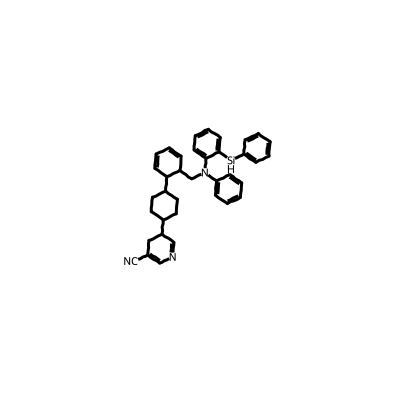 N#CC1=CN=CC(C2CCC(C3C=CC=CC3CN3c4ccccc4[SiH](c4ccccc4)c4ccccc43)CC2)C1